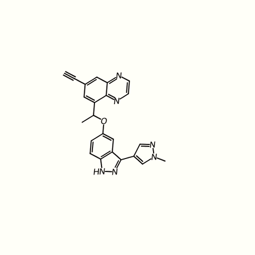 C#Cc1cc(C(C)Oc2ccc3[nH]nc(-c4cnn(C)c4)c3c2)c2nccnc2c1